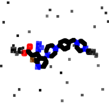 COC(=O)c1sc2nccc(N3CCCN(c4ccc(CN5CCN(C)CC5)cc4)CC3)c2c1N